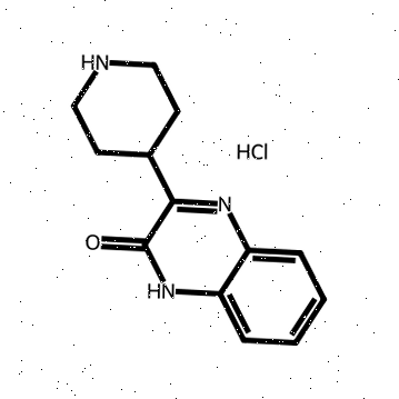 Cl.O=c1[nH]c2ccccc2nc1C1CCNCC1